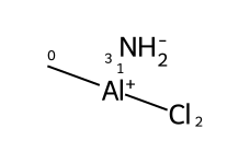 [CH3][Al+][Cl].[NH2-]